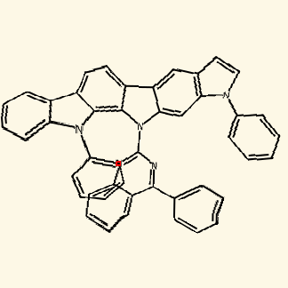 c1ccc(-c2nc(-n3c4cc5c(ccn5-c5ccccc5)cc4c4ccc5c6ccccc6n(-c6ccccc6)c5c43)nc3ccccc23)cc1